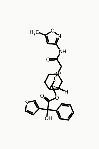 Cc1cc(NC(=O)C[N+]23CCC(CC2)[C@@H](OC(=O)C(O)(c2ccccc2)c2ccsc2)C3)no1